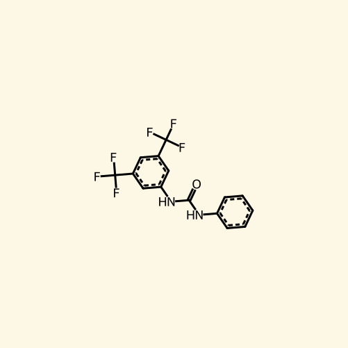 O=C(Nc1ccccc1)Nc1cc(C(F)(F)F)cc(C(F)(F)F)c1